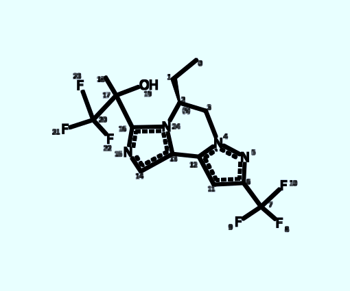 CC[C@H]1Cn2nc(C(F)(F)F)cc2-c2cnc(C(C)(O)C(F)(F)F)n21